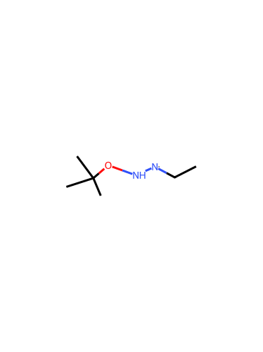 CC[N]NOC(C)(C)C